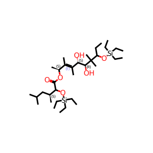 CCC(O[Si](CC)(CC)CC)C(C)(C)[C@@H](O)[C@@H](O)/C(C)=C(\C)[C@H](C)OC(=O)C(O[Si](CC)(CC)CC)[C@@H](C)CC(C)C